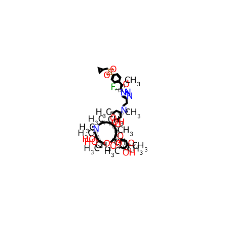 CC[C@H]1OC(=O)[C@H](C)[C@@H](O[C@H]2C[C@@](C)(OC)[C@@H](O)[C@H](C)O2)[C@H](C)[C@@H](O[C@H]2C[C@@H](N(C)CCc3cn([C@H](CF)[C@H](OC)c4ccc(S(=O)(=O)CC5CC5)cc4)nn3)C[C@@H](C)O2)[C@](C)(O)C[C@@H](C)CN(C)[C@H](C)[C@@H](O)[C@]1(C)O